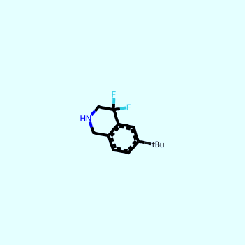 CC(C)(C)c1ccc2c(c1)C(F)(F)CNC2